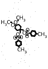 CCOC1(OCC)CCC(COS(=O)(=O)c2ccc(C)cc2)(COS(=O)(=O)c2ccc(C)cc2)CC1